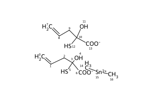 C=CCC(O)(S)C(=O)[O-].C=CCC(O)(S)C(=O)[O-].[CH3][Sn+2][CH3]